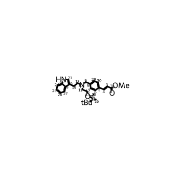 COC(=O)/C=C/c1ccc(CN(CCO[Si](C)(C)C(C)(C)C)CCc2c[nH]c3ccccc23)cc1